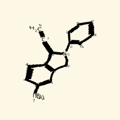 C=C=C1c2ccc(CCCC)cc2CN1c1ccccc1